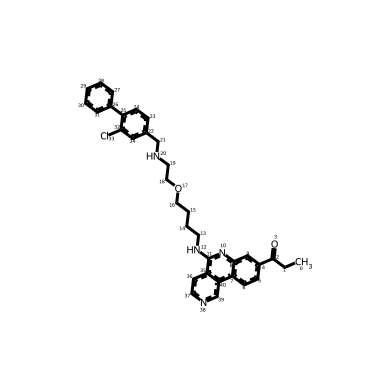 CCC(=O)c1ccc2c(c1)nc(NCCCCOCCNCc1ccc(-c3ccccc3)c(Cl)c1)c1ccncc12